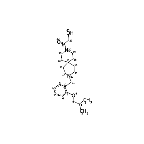 CC(C)COc1ccccc1CN1CCC2(CC1)CCN(C(=O)CO)CC2